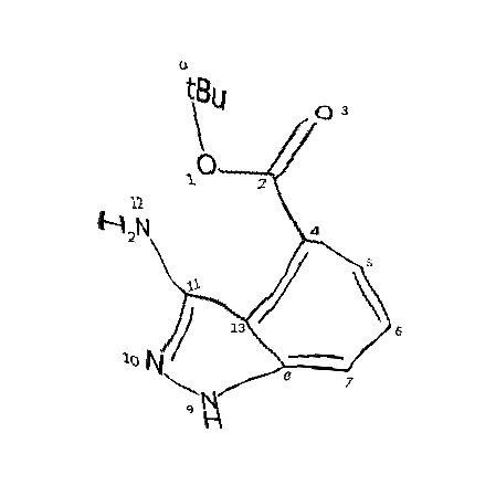 CC(C)(C)OC(=O)c1cccc2[nH]nc(N)c12